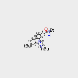 CCCCN1CCN(c2cc(CCC(=O)NCC)ccc2C2CCC(C(C)(C)C)CC2)CC1